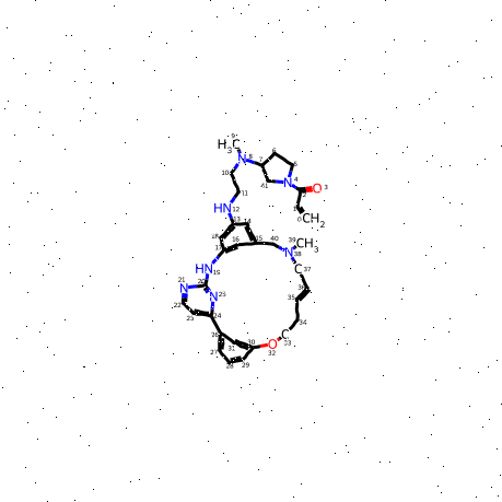 C=CC(=O)N1CCC(N(C)CCNc2cc3cc(c2)Nc2nccc(n2)-c2cccc(c2)OCC/C=C/CN(C)C3)C1